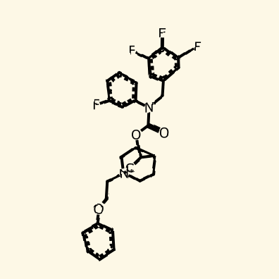 O=C(OC1C[N+]2(CCOc3ccccc3)CCC1CC2)N(Cc1cc(F)c(F)c(F)c1)c1cccc(F)c1